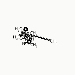 CCCCCCCCCCCCNC(C)Nn1c(C(C(=O)Nc2ccccc2OC)N2C(=O)OC(C)(CC)C2=O)nc2c(C#N)cc(C)cc2c1=O